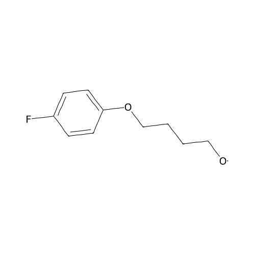 [O]CCCCOc1ccc(F)cc1